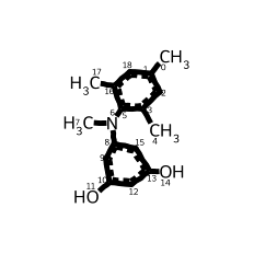 Cc1cc(C)c(N(C)c2cc(O)cc(O)c2)c(C)c1